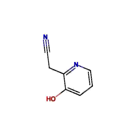 N#CCc1ncccc1O